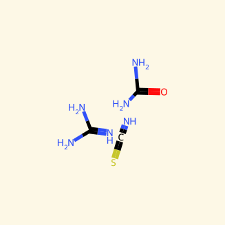 N=C(N)N.N=C=S.NC(N)=O